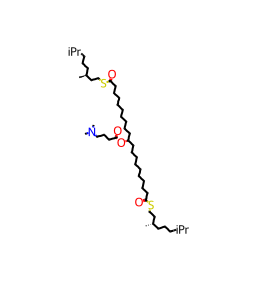 CC(C)CCC[C@H](C)CCSC(=O)CCCCCCCCCC(CCCCCCCCCC(=O)SCC[C@@H](C)CCCC(C)C)OC(=O)CCCN(C)C